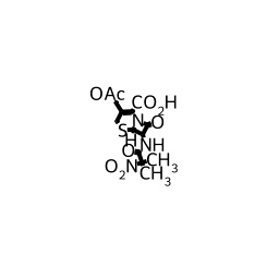 CC(=O)OCC1=C(C(=O)O)N2C(=O)C(NC(=O)C(C)(C)[N+](=O)[O-])[C@@H]2SC1